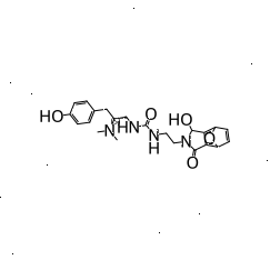 CN(C)[C@H](CNC(=O)NCCN1C(=O)c2c(c3ccc2o3)C1O)Cc1ccc(O)cc1